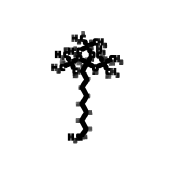 C[Si](C)(C)OC(CCCCCCCC[SiH3])(O[Si](C)(C)C)O[Si](C)(C)C